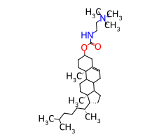 CC(C)CCC[C@@H](C)[C@H]1CCC2C3CC=C4CC(OC(=O)NCC[N+](C)(C)C)CC[C@]4(C)C3CC[C@@]21C